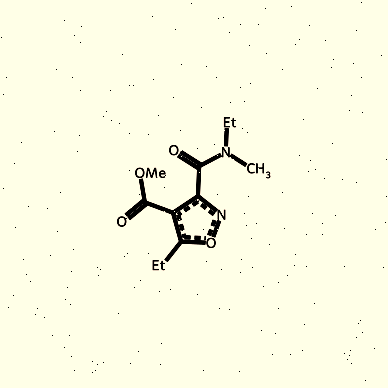 CCc1onc(C(=O)N(C)CC)c1C(=O)OC